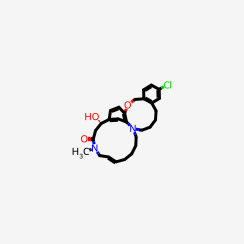 CN1C/C=C/CCCCN2CCCCc3cc(Cl)ccc3COc3ccc(cc32)[C@@H](O)CC1=O